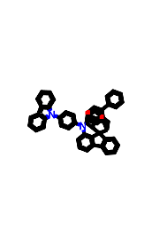 c1ccc(-c2ccc(N(c3ccc(-n4c5ccccc5c5ccccc54)cc3)c3cccc4c3C3(c5ccccc5-4)C4CC5CC(C4)CC3C5)cc2)cc1